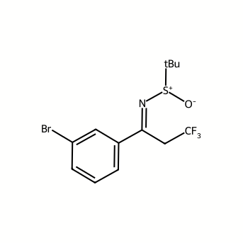 CC(C)(C)[S+]([O-])N=C(CC(F)(F)F)c1cccc(Br)c1